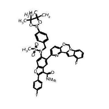 CNC(=O)c1c(-c2ccc(F)cc2)oc2cc(N(Cc3ccc(B4OC(C)(C)C(C)(C)O4)cc3)S(C)(=O)=O)c(-c3ccc4c(n3)-c3cc5c(F)cccc5n3CO4)cc12